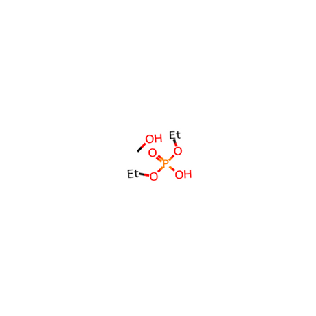 CCOP(=O)(O)OCC.CO